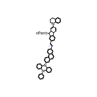 CCCCCC1c2cc(/C=C/c3ccc4c(ccc5cc(N6c7ccccc7N(c7ccccc7)c7ccccc76)ccc54)c3)ccc2C2C=CC(N3CCCc4ccccc43)=CC21